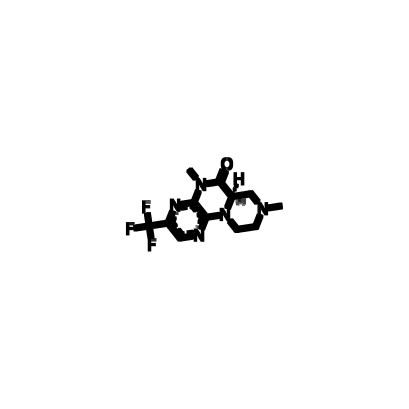 CN1CCN2c3ncc(C(F)(F)F)nc3N(C)C(=O)[C@H]2C1